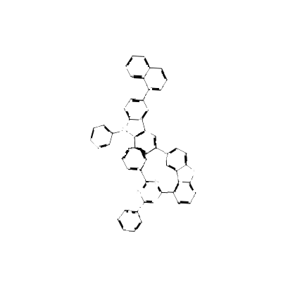 c1ccc(-c2nc(-c3ccccc3)nc(-c3cccc4sc5ccc(-c6ccc7c(c6)c6cc(-c8cccc9ccccc89)ccc6n7-c6ccccc6)cc5c34)n2)cc1